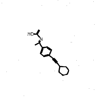 C=C(O)/N=C(\C)c1ccc(C#CC2CCCCC2)cc1